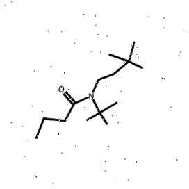 CCCC(=O)N(CCC(C)(C)C)C(C)(C)C